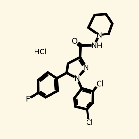 Cl.O=C(NN1CCCCC1)C1=NN(c2ccc(Cl)cc2Cl)C(c2ccc(F)cc2)C1